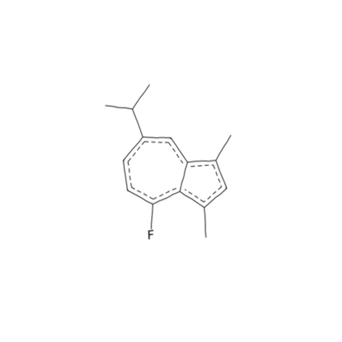 Cc1cc(C)c2c(F)ccc(C(C)C)cc1-2